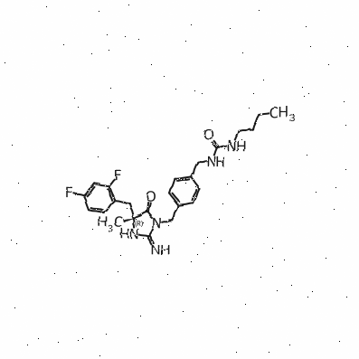 CCCCNC(=O)NCc1ccc(CN2C(=N)N[C@](C)(Cc3ccc(F)cc3F)C2=O)cc1